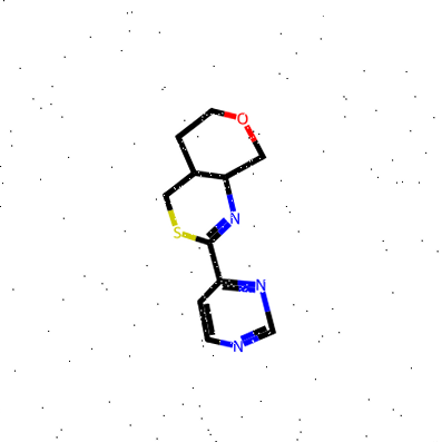 c1cc(C2=NC3COCCC3CS2)ncn1